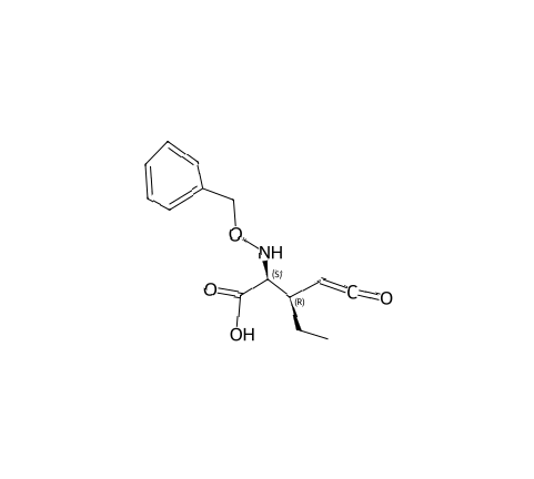 CC[C@H](C=C=O)[C@H](NOCc1ccccc1)C(=O)O